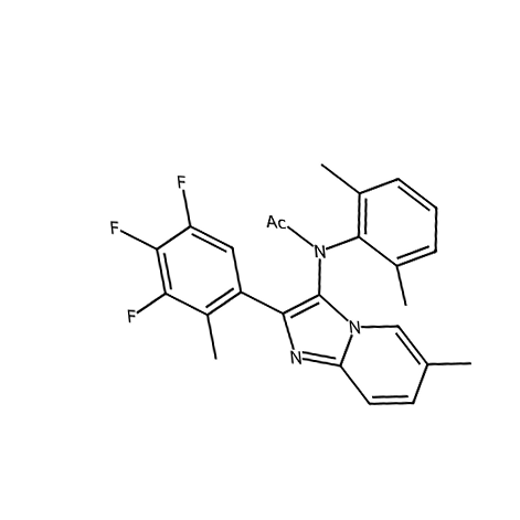 CC(=O)N(c1c(C)cccc1C)c1c(-c2cc(F)c(F)c(F)c2C)nc2ccc(C)cn12